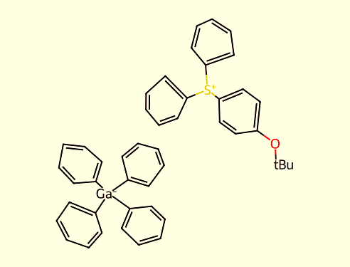 CC(C)(C)Oc1ccc([S+](c2ccccc2)c2ccccc2)cc1.c1cc[c]([Ga-]([c]2ccccc2)([c]2ccccc2)[c]2ccccc2)cc1